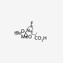 COC(C(C)C(=O)O)[C@@H]1C[C@H](F)CN1C(=O)OC(C)(C)C